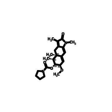 CO[C@@H]1C=C2C=C3C(=C(C)C(=O)N3C)C[C@]2(C)[C@@H](C)[C@H]1OC(=O)N1CCCC1